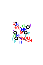 O=C(NOCC(O)CN1CCOCC1)c1cc(F)c(F)cc1Nc1ccc(I)cc1Cl.O=C(NOCC(O)CO)c1cc(F)c(F)cc1Nc1ccc(I)cc1Cl